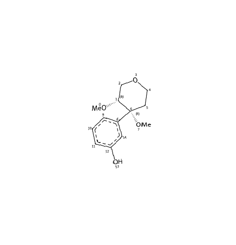 CO[C@@H]1COCC[C@@]1(OC)c1cccc(O)c1